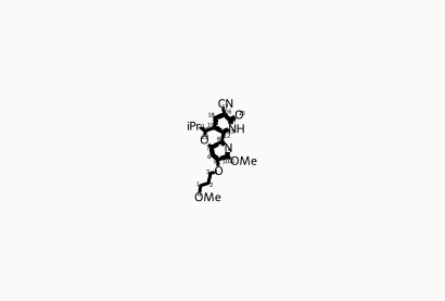 COCCCOc1cc2c(nc1OC)-c1[nH]c(=O)c(C#N)cc1C(C(C)C)O2